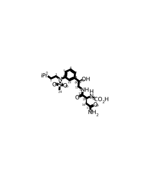 CC(C)CCN(c1cccc([C@@H](O)CNC(=O)[C@H](CC(N)=O)NC(=O)O)c1)S(C)(=O)=O